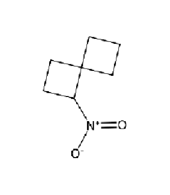 O=[N+]([O-])C1CCC12CCC2